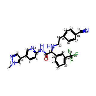 Cn1cc(-c2ccc(NC(=O)C(NCCc3ccc(C#N)cc3)c3cccc(C(F)(F)F)c3)nc2)cn1